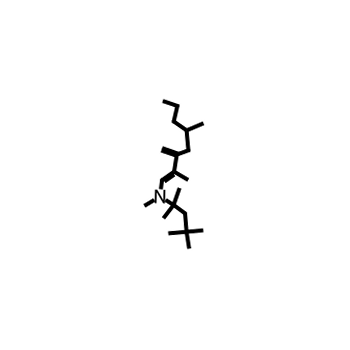 C=C(CC(C)CCC)/C(C)=C/N(C)C(C)(C)CC(C)(C)C